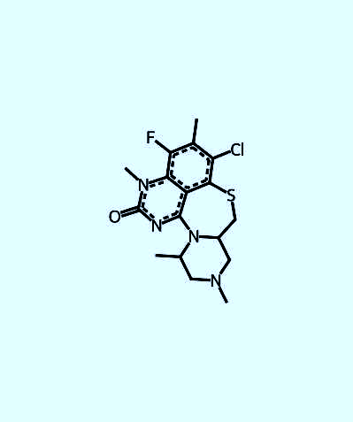 Cc1c(Cl)c2c3c(nc(=O)n(C)c3c1F)N1C(C)CN(C)CC1CS2